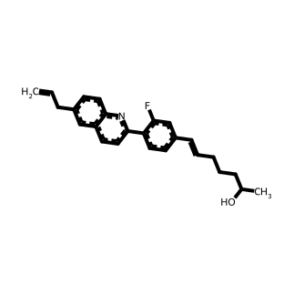 C=CCc1ccc2nc(-c3ccc(C=CCCCC(C)O)cc3F)ccc2c1